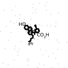 C#Cc1ccc(C(=O)O)cc1.CC(C)CCC[C@@H](C)[C@H]1CC[C@H]2[C@@H]3CC=C4C[C@@H](O)CC[C@]4(C)[C@H]3CC[C@]12C